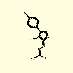 CC(C)=NN=c1scc(-c2ccc(Br)cc2)n1C